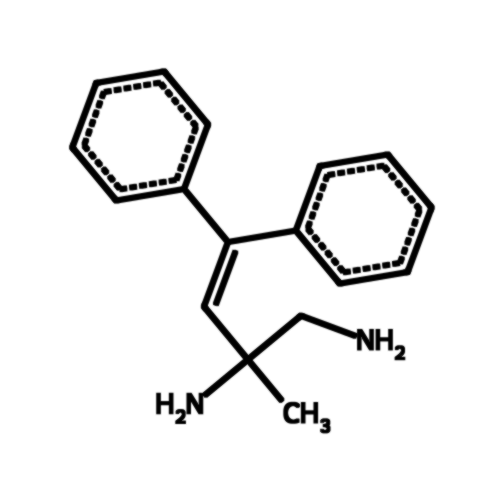 CC(N)(C=C(c1ccccc1)c1ccccc1)CN